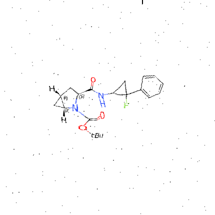 CC(C)(C)OC(=O)N1[C@@H]2C[C@@H]2C[C@H]1C(=O)NC1CC1(F)c1ccccc1